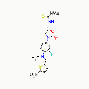 CNC(=S)NC[C@H]1CN(c2ccc(N(C)Cc3ccc([N+](=O)[O-])s3)c(F)c2)C(=O)O1